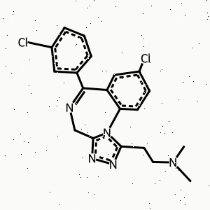 CN(C)CCc1nnc2n1-c1ccc(Cl)cc1C(c1cccc(Cl)c1)=NC2